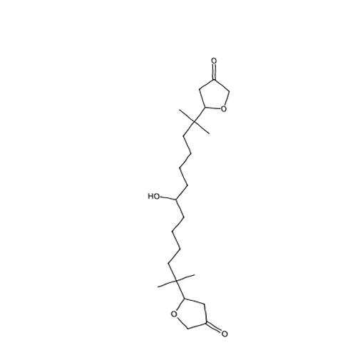 CC(C)(CCCCC(O)CCCCC(C)(C)C1CC(=O)CO1)C1CC(=O)CO1